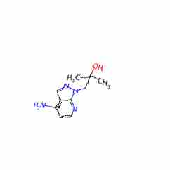 CC(C)(O)Cn1ncc2c(N)ccnc21